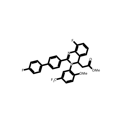 COC(=O)CC1c2cccc(F)c2N=C(c2ccc(-c3ccc(F)cc3)cc2)N1c1cc(C(F)(F)F)ccc1OC